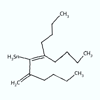 C=C(CCCC)[C]([SnH3])=C(CCCC)CCCC